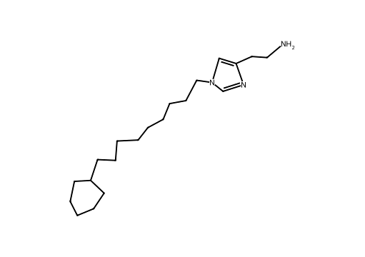 NCCc1cn(CCCCCCCCCC2CCCCC2)cn1